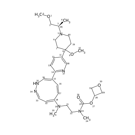 COC[C@@H](C)N1CCC(OC)(c2ccc(-c3ccc(N(C)CCN(C)C(=O)OC4COC4)ccn[nH]c3)nc2)CC1